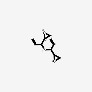 C=CC(SC(C=C)C1CO1)C1CO1